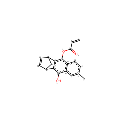 C=CC(=O)Oc1c2c(c(O)c3cc(C)ccc13)C1C=CC2C1